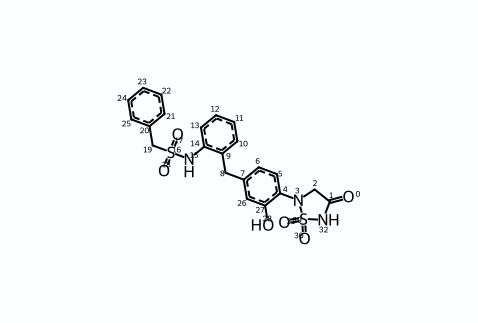 O=C1CN(c2ccc(Cc3ccccc3NS(=O)(=O)Cc3ccccc3)cc2O)S(=O)(=O)N1